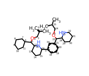 C=C(C)COC(C1CCCCC1)C1CCCC(c2cccc(C(OCC(C)C)C3CCCCN3)c2)N1